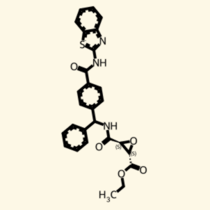 CCOC(=O)[C@H]1O[C@@H]1C(=O)NC(c1ccccc1)c1ccc(C(=O)Nc2nc3ccccc3s2)cc1